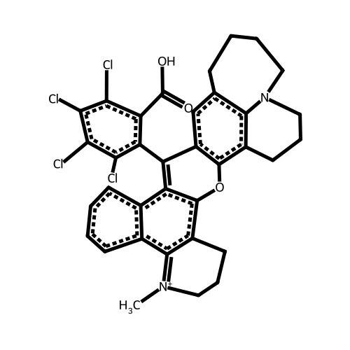 C[N+]1=c2c(c3c(c4ccccc24)=C(c2c(Cl)c(Cl)c(Cl)c(Cl)c2C(=O)O)c2cc4c5c(c2O3)CCCN5CCCC4)CCC1